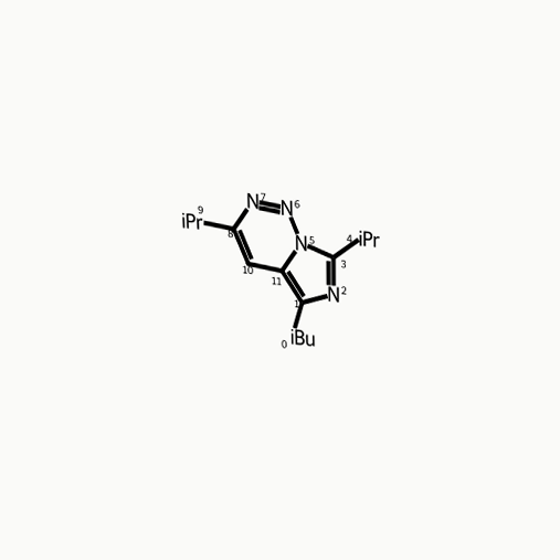 CCC(C)c1nc(C(C)C)n2nnc(C(C)C)cc12